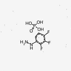 NNc1ccc(F)c(F)c1F.O=P(O)(O)O